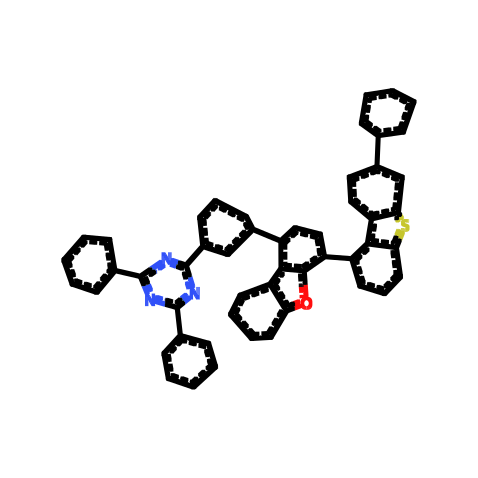 c1ccc(-c2ccc3c(c2)sc2cccc(-c4ccc(-c5cccc(-c6nc(-c7ccccc7)nc(-c7ccccc7)n6)c5)c5c4oc4ccccc45)c23)cc1